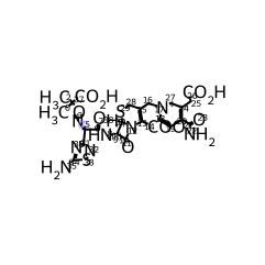 CC(C)(O/N=C(\C(=O)N[C@@H]1C(=O)N2C(C(=O)[O-])=C(C[n+]3ccc(C(N)=O)c(CC(=O)O)c3)CS[C@@H]12)c1nsc(N)n1)C(=O)O